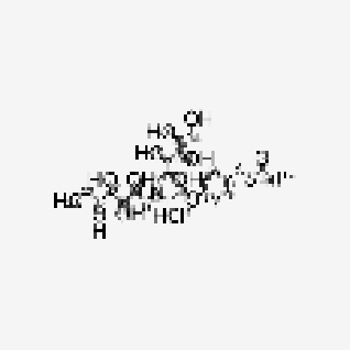 CC(C)C(=O)SCc1ccc(OCCN(C[C@H](O)[C@@H](O)[C@H](O)C(O)CO)C[C@H](O)[C@@H](O)[C@H](O)C(O)CO)cc1.Cl